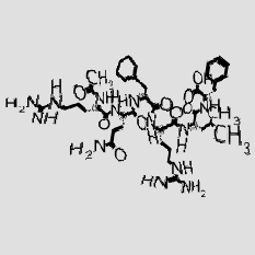 CC(=O)N[C@@H](CCCNC(=N)N)C(=O)N[C@@H](CCC(N)=O)C(=O)N[C@@H](CC1CCCCC1)C(=O)N[C@@H](CCCNC(=N)N)C(=O)N[C@@H](CC(C)C)C(=O)N[C@@H](Cc1ccccc1)C(=O)O